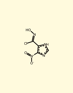 O=[N+]([O-])c1nc[nH]c1C(Cl)=NO